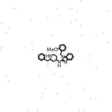 COc1ccccc1Cn1c(NC2CCNC(Cc3ccccc3)C2)nc2ccccc21